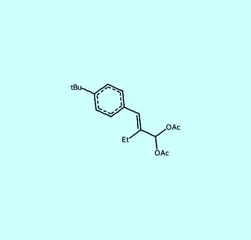 CC/C(=C\c1ccc(C(C)(C)C)cc1)C(OC(C)=O)OC(C)=O